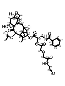 CC(=O)O[C@H]1C(=O)[C@@]2(C)[C@H](C[C@]3(O)C[C@H](OC(=O)[C@@H](CNC(=O)c4ccccc4)OC(=O)COCC(=O)NCC=O)C(C)=C1C3(C)C)[C@@H]1CO[C@@H]1C[C@@H]2O